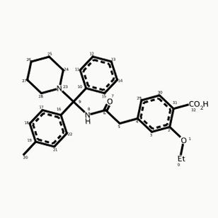 CCOc1cc(CC(=O)NC(c2ccccc2)(c2ccc(C)cc2)N2CCCCC2)ccc1C(=O)O